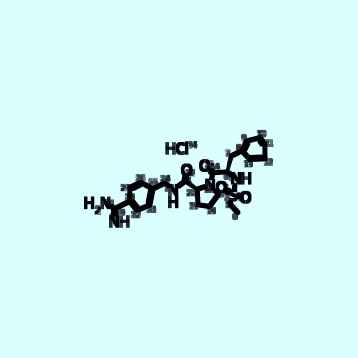 CCS(=O)(=O)N[C@H](Cc1ccccc1)C(=O)N1CCC[C@H]1C(=O)NCc1ccc(C(=N)N)cc1.Cl